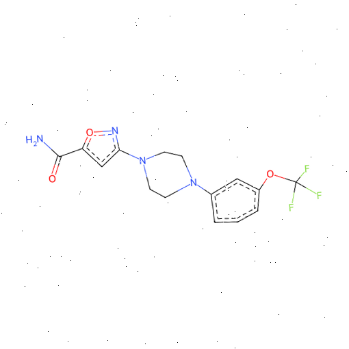 NC(=O)c1cc(N2CCN(c3cccc(OC(F)(F)F)c3)CC2)no1